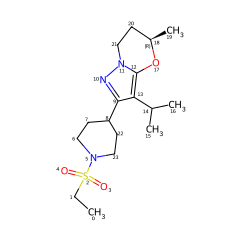 CCS(=O)(=O)N1CCC(c2nn3c(c2C(C)C)O[C@H](C)CC3)CC1